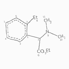 CCOC(=O)C(c1ccccc1CC)N(C)C